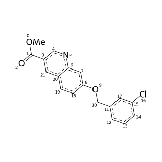 COC(=O)c1cnc2cc(OCc3cccc(Cl)c3)ccc2c1